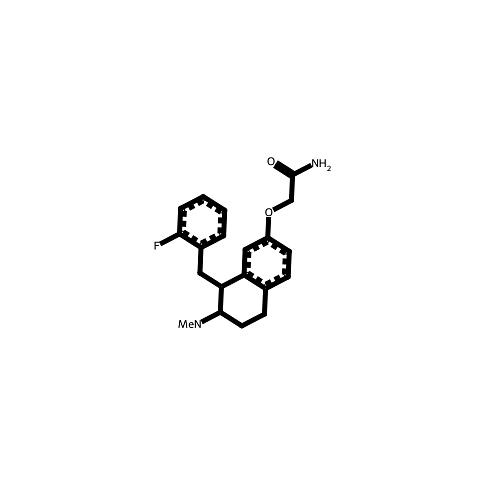 CNC1CCc2ccc(OCC(N)=O)cc2C1Cc1ccccc1F